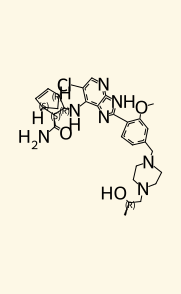 COc1cc(CN2CCN(C[C@@H](C)O)CC2)ccc1-c1nc2c(N[C@H]3[C@@H](C(N)=O)[C@@H]4C=C[C@H]3C4)c(Cl)cnc2[nH]1